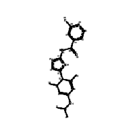 CC1=CC(OC(C)C)=CC(C)C1c1csc(NC(=O)c2ccnc(F)c2)n1